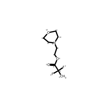 CC(F)(F)C(=O)OCCN1CCOCC1